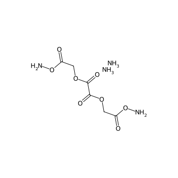 N.N.NOC(=O)COC(=O)C(=O)OCC(=O)ON